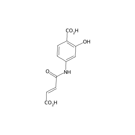 O=C(O)C=CC(=O)Nc1ccc(C(=O)O)c(O)c1